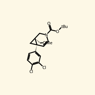 COC[C@]12CN(C(=O)OC(C)(C)C)C=C[C@@]1(c1ccc(Cl)c(Cl)c1)C2